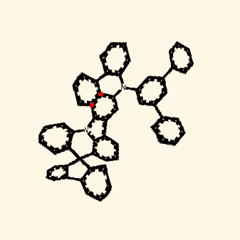 c1ccc(-c2cc(-c3ccccc3)cc(N(c3ccc4c(c3)c3cccc5c3n4-c3ccccc3C53c4ccccc4-c4ccccc43)c3ccccc3-c3ccccc3)c2)cc1